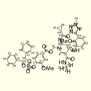 [2H]C([2H])([2H])NC(=O)c1cn(COC(=O)c2ccc(OP(=O)(OCc3ccccc3)OCc3ccccc3)c(OC)c2)/c(=N/C(=O)C2CC2)cc1Nc1cccc(-c2nnn(C)n2)c1OC